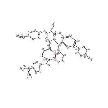 COc1ccc(C=CC(=O)N(Cc2ccc(N3CCN(C(C)=O)CC3)cc2)C(Cc2ccccc2)C(=O)N2CCN(Cc3ccc(N(C)C)cc3)CC2)cc1